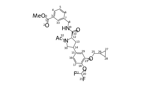 COC(=O)c1cccc(CNC(=O)[C@H]2CC(c3ccc(OC(F)F)c(OCC4CC4)c3)CN2C(C)=O)c1